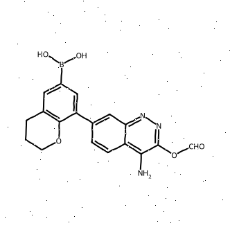 Nc1c(OC=O)nnc2cc(-c3cc(B(O)O)cc4c3OCCC4)ccc12